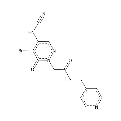 N#CNc1cnn(CC(=O)NCc2ccncc2)c(=O)c1Br